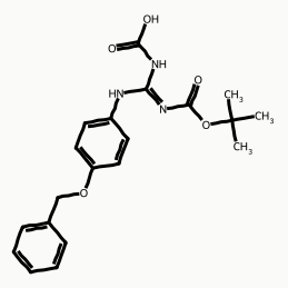 CC(C)(C)OC(=O)N=C(NC(=O)O)Nc1ccc(OCc2ccccc2)cc1